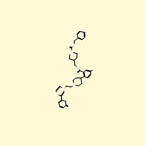 O=C1C=CC=C(C2=CN(CCN3CCC(c4ccc(Cl)cc4C(=O)NCC4CCN(C(=O)OCc5ccccc5)CC4)CC3)C=CO2)C1